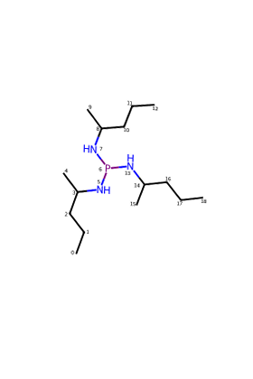 CCCC(C)NP(NC(C)CCC)NC(C)CCC